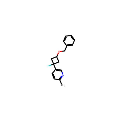 Cc1ccc(C2(F)CC(OCc3ccccc3)C2)cn1